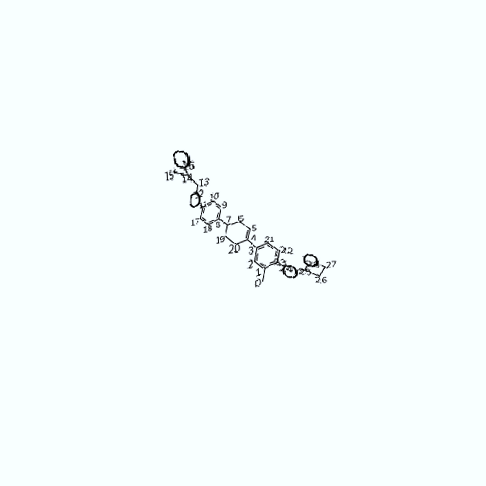 Cc1cc(C2=CCC(c3ccc(OCC4CO4)cc3)CC2)ccc1OC1CCO1